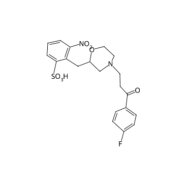 O=C(CCN1CCOC(Cc2c([N+](=O)[O-])cccc2S(=O)(=O)O)C1)c1ccc(F)cc1